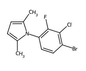 Cc1ccc(C)n1-c1ccc(Br)c(Cl)c1F